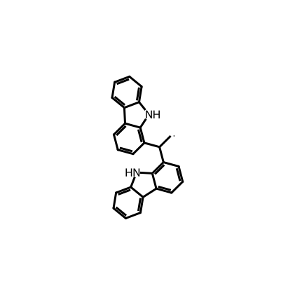 [CH2]C(c1cccc2c1[nH]c1ccccc12)c1cccc2c1[nH]c1ccccc12